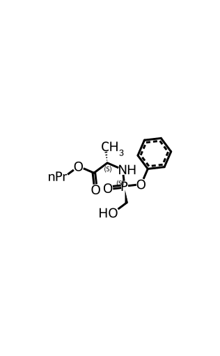 CCCOC(=O)[C@H](C)N[P@](=O)(CO)Oc1ccccc1